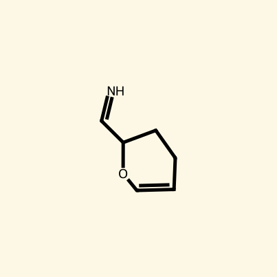 N=CC1CCC=CO1